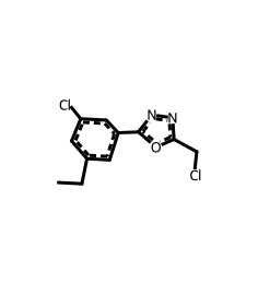 CCc1cc(Cl)cc(-c2nnc(CCl)o2)c1